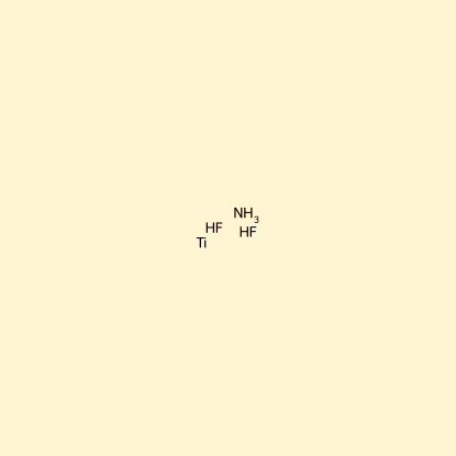 F.F.N.[Ti]